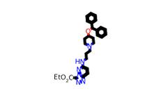 CCOC(=O)c1nnc2ccc(NCCCN3CCC(OC(c4ccccc4)c4ccccc4)CC3)nn12